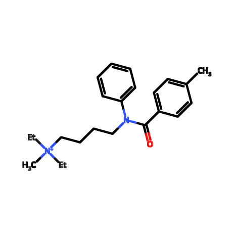 CC[N+](C)(CC)CCCCN(C(=O)c1ccc(C)cc1)c1ccccc1